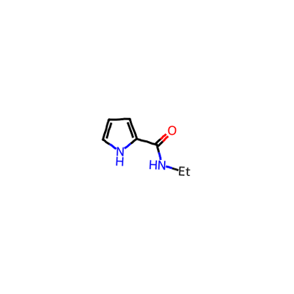 CCNC(=O)c1ccc[nH]1